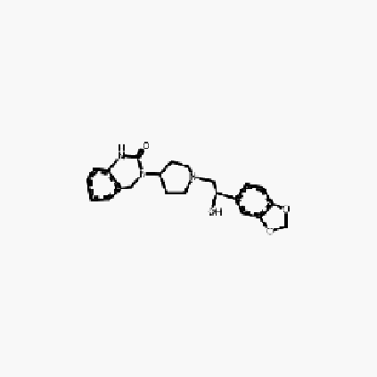 O=C1Nc2ccccc2CN1C1CCN(CC(O)c2ccc3c(c2)OCO3)CC1